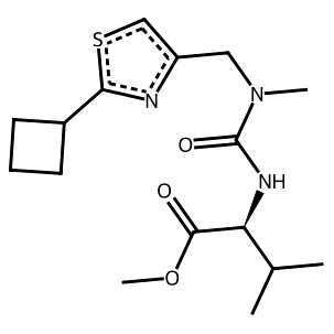 COC(=O)[C@@H](NC(=O)N(C)Cc1csc(C2CCC2)n1)C(C)C